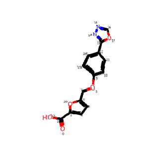 O=C(O)c1ccc(COc2ccc(-c3nnco3)cc2)o1